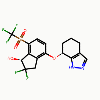 O=S(=O)(c1ccc(O[C@@H]2CCCc3cn[nH]c32)c2c1[C@H](O)C(F)(F)C2)C(F)(F)F